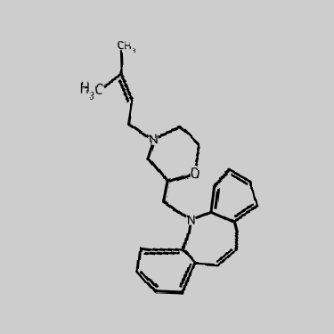 CC(C)=CCN1CCOC(CN2c3ccccc3C=Cc3ccccc32)C1